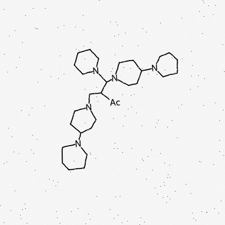 CC(=O)C(CN1CCC(N2CCCCC2)CC1)C(N1CCCCC1)N1CCC(N2CCCCC2)CC1